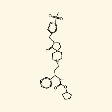 CS(=O)(=O)c1ccc(CN2CCC3(CCN(CC[C@H](NC(=O)OC4CCCC4)c4ccccc4)CC3)C2=O)cc1